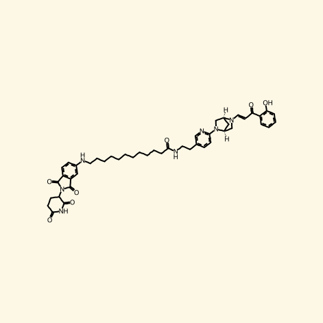 O=C(CCCCCCCCCCCNc1ccc2c(c1)C(=O)N(C1CCC(=O)NC1=O)C2=O)NCCc1ccc(N2C[C@@H]3C[C@H]2CN3/C=C/C(=O)c2ccccc2O)nc1